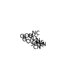 [C-]#[N+]c1c(C)nsc1N=Nc1c(C)c([N+]#[C-])c(=O)n(-c2cc(OS(=O)O)ccc2S(=O)(=O)O)c1O